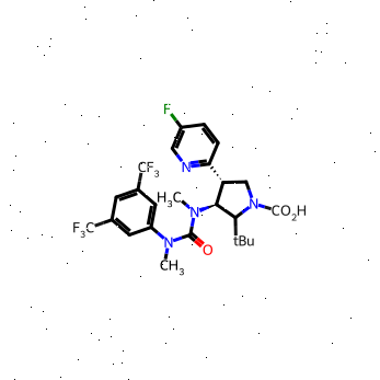 CN(C(=O)N(C)[C@@H]1C(C(C)(C)C)N(C(=O)O)C[C@H]1c1ccc(F)cn1)c1cc(C(F)(F)F)cc(C(F)(F)F)c1